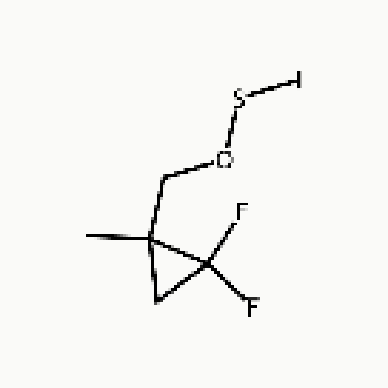 CC1(COSI)CC1(F)F